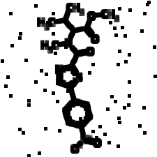 COC(=O)C(C(C)C)N(C)C(=O)c1ncc(-c2ccc([N+](=O)[O-])cc2)s1